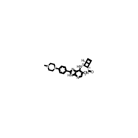 CN1CCN(c2ccc(-c3nc4c(N[C@@H]5[C@H]6C=CC6[C@@H]5C(N)=O)c(Cl)cnc4[nH]3)cc2)CC1